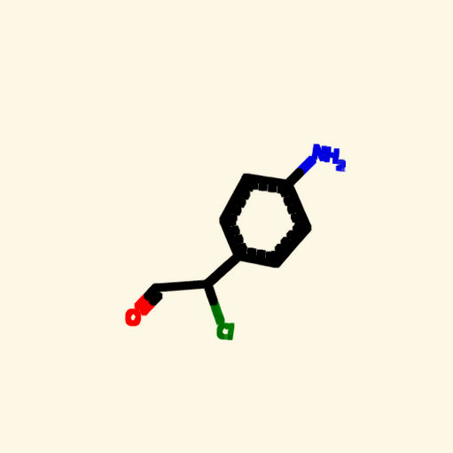 Nc1ccc(C(Cl)C=O)cc1